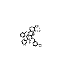 CC(C)[C@H](NC(=O)[C@H](Cc1ccccc1)NC(=O)[C@@H](Cc1cccc(Cl)c1)NC(=O)c1cnccn1)C(=O)C(F)(F)F